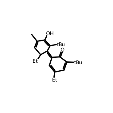 CCC1=CC(=C2C(C(C)(C)C)=C(O)C(C)=CC2CC)C(=O)C(C(C)(C)C)=C1